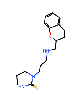 S=C1NCCCN1CCCNCC1CCc2ccccc2O1